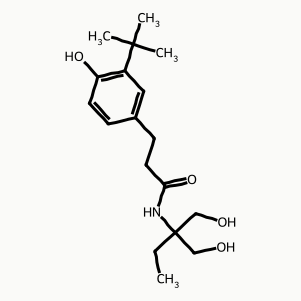 CCC(CO)(CO)NC(=O)CCc1ccc(O)c(C(C)(C)C)c1